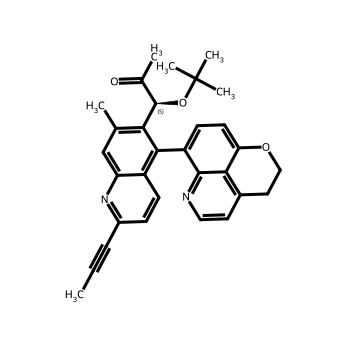 CC#Cc1ccc2c(-c3ccc4c5c(ccnc35)CCO4)c([C@H](OC(C)(C)C)C(C)=O)c(C)cc2n1